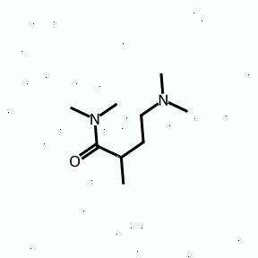 CC(CCN(C)C)C(=O)N(C)C